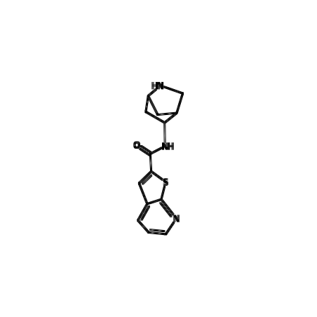 O=C(NC1CC2CC1CN2)c1cc2cccnc2s1